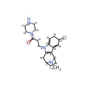 CN1C2CCC1c1c(n(CCC(=O)N3CCNCC3)c3c1=CC(Cl)CC=3)C2